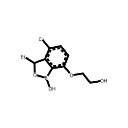 CCC1OB(O)c2c(OCCO)ccc(Cl)c21